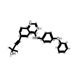 CC(C)(O)C#Cc1ccc2ncnc(Nc3ccc(Oc4ccccc4)cc3)c2c1